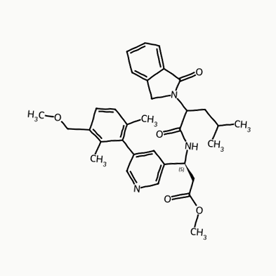 COCc1ccc(C)c(-c2cncc([C@H](CC(=O)OC)NC(=O)C(CC(C)C)N3Cc4ccccc4C3=O)c2)c1C